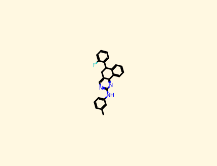 Cc1cccc(Nc2ncc3c(n2)-c2ccccc2C(c2ccccc2F)C3)c1